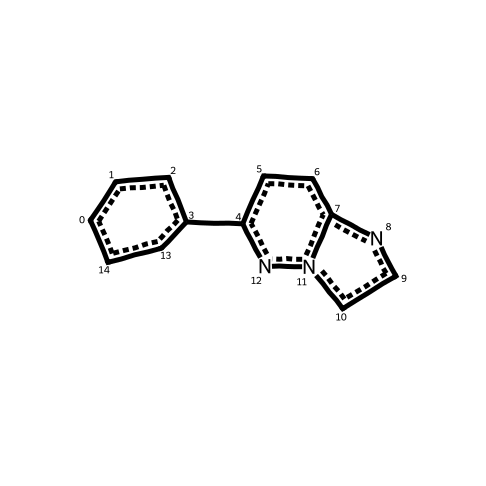 c1ccc(-c2ccc3nccn3n2)cc1